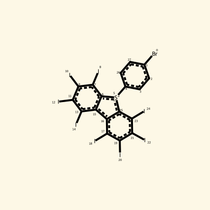 Brc1ccc(-[s+]2c3c(I)c(I)c(I)c(I)c3c3c(I)c(I)c(I)c(I)c32)cc1